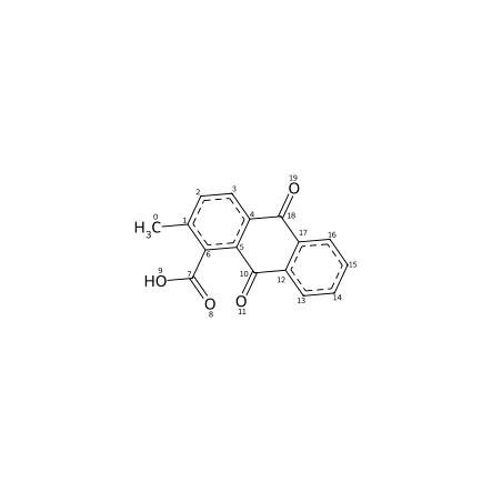 Cc1ccc2c(c1C(=O)O)C(=O)c1ccccc1C2=O